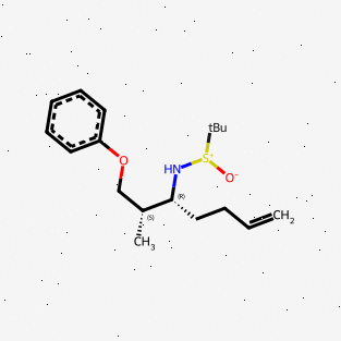 C=CCC[C@@H](N[S+]([O-])C(C)(C)C)[C@H](C)COc1ccccc1